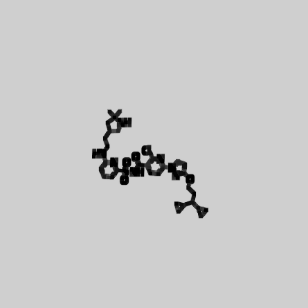 CC1(C)CC(CCNc2cccc(S(=O)(=O)NC(=O)c3ccc(-n4ccc(OCCC(C5CC5)C5CC5)n4)nc3Cl)n2)CN1